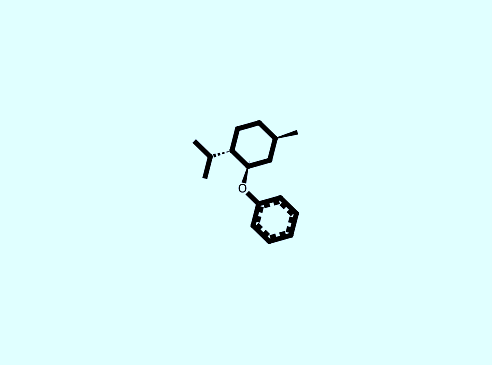 CC(C)[C@@H]1CC[C@@H](C)C[C@H]1Oc1ccccc1